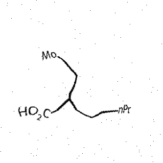 CCCCC([CH2][Mo])C(=O)O